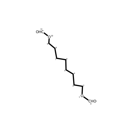 O=[C]OCCCCCCCCOC=O